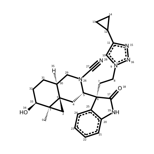 C[C@@]12C[C@@]13C[C@@H]([C@@]1(CCn4cc(C5CC5)nn4)C(=O)Nc4ccccc41)N(C#N)C[C@@H]3CC[C@@H]2O